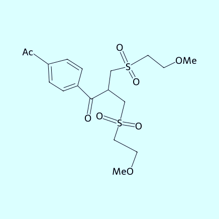 COCCS(=O)(=O)CC(CS(=O)(=O)CCOC)C(=O)c1ccc(C(C)=O)cc1